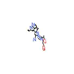 C=Cc1cc(-c2cc(C#N)c(N3CCN(C(=O)CCOC)[C@H](C(C)C)C3)nc2C2CC2)c2cccnc2n1